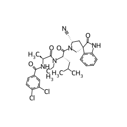 CCN(C(=O)[C@H](C)NC(=O)c1ccc(Cl)c(Cl)c1)[C@@H](CC(C)C)C(=O)N1C[C@]2(C[C@H]1C#N)C(=O)Nc1ccccc12